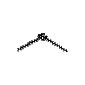 CCCCCCCCCCCCCCCCCCOC(=O)C1CCC(C(=O)OCCCCCCCCCCCCCCCCCC)C(C(=O)O)C1